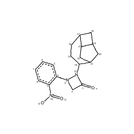 O=C1CN(c2ccccc2[N+](=O)[O-])N1C1CCC2CC3CC1CC23